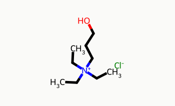 CC[N+](CC)(CC)CCCO.[Cl-]